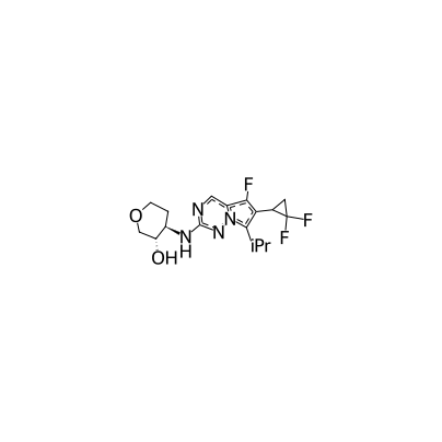 CC(C)c1c(C2CC2(F)F)c(F)c2cnc(N[C@@H]3CCOC[C@H]3O)nn12